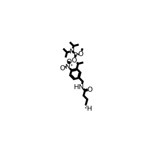 [2H]CCCC(=O)NCc1ccc([N+](=O)[O-])c(C(C)OP(OC)N(C(C)C)C(C)C)c1